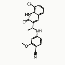 COc1cc(N[C@@H](C)c2cc3cccc(Cl)c3[nH]c2=O)ccc1C#N